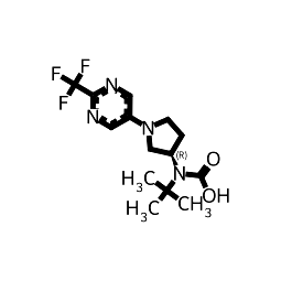 CC(C)(C)N(C(=O)O)[C@@H]1CCN(c2cnc(C(F)(F)F)nc2)C1